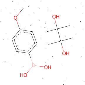 CC(C)(O)C(C)(C)O.COc1ccc(B(O)O)cc1